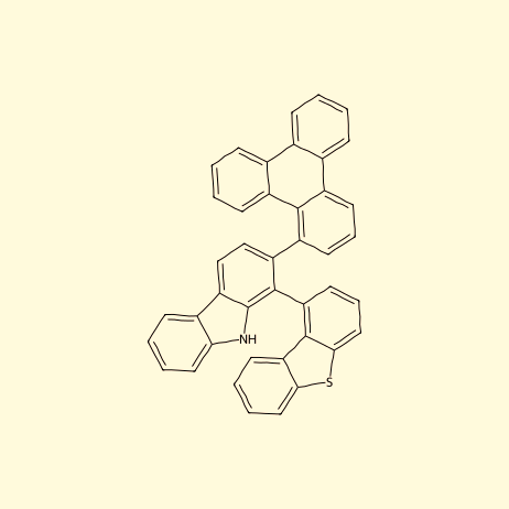 c1ccc2c(c1)[nH]c1c(-c3cccc4sc5ccccc5c34)c(-c3cccc4c5ccccc5c5ccccc5c34)ccc12